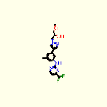 COCC(O)Cn1cc(-c2cc(C)cc(Nc3nccc(C(F)F)n3)c2)cn1